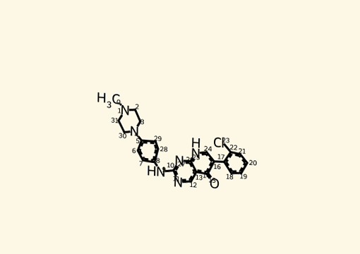 CN1CCN(c2ccc(Nc3ncc4c(=O)c(-c5ccccc5Cl)c[nH]c4n3)cc2)CC1